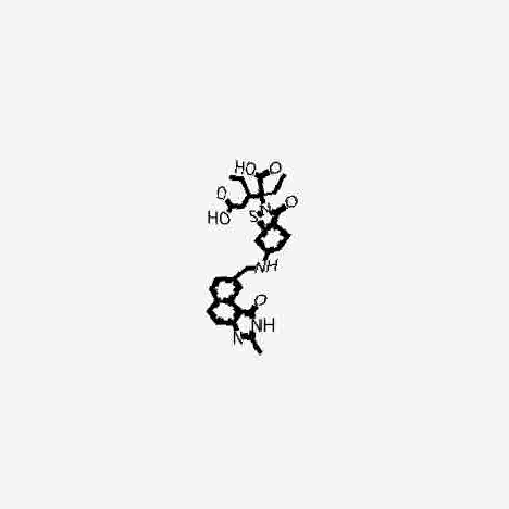 CCC(CC(=O)O)[C@](CC)(C(=O)O)n1sc2cc(NCc3ccc4ccc5nc(C)[nH]c(=O)c5c4c3)ccc2c1=O